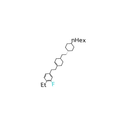 CCCCCC[C@H]1CC[C@H](CCC2CC=C(CCc3ccc(CC)c(F)c3)CC2)CC1